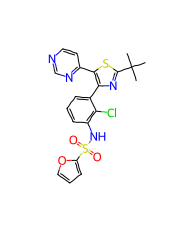 CC(C)(C)c1nc(-c2cccc(NS(=O)(=O)c3ccco3)c2Cl)c(-c2ccncn2)s1